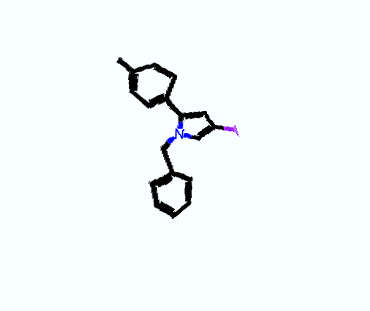 Cc1ccc(-c2cc(I)cn2Cc2ccccc2)cc1